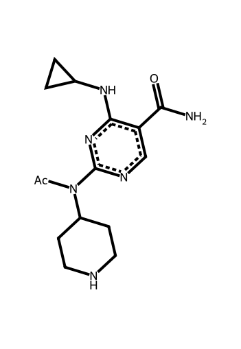 CC(=O)N(c1ncc(C(N)=O)c(NC2CC2)n1)C1CCNCC1